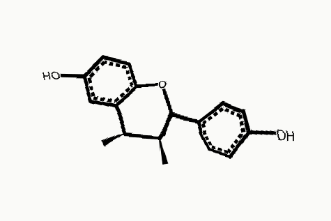 C[C@@H]1C(c2ccc(O)cc2)Oc2ccc(O)cc2[C@@H]1C